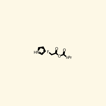 CCCC(=O)OC(=O)CF.c1cc[nH]c1